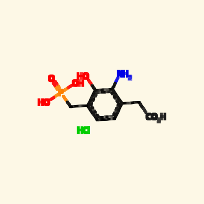 Cl.Nc1c(CC(=O)O)ccc(CP(=O)(O)O)c1O